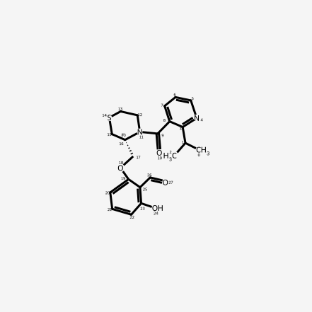 CC(C)c1ncccc1C(=O)N1CCSC[C@H]1COc1cccc(O)c1C=O